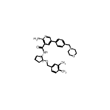 Cc1ccc(CO[C@H]2CCC[C@@H]2NC(=O)c2cc(-c3ccc(CN4CCOCC4)cc3)cnc2N)cc1C